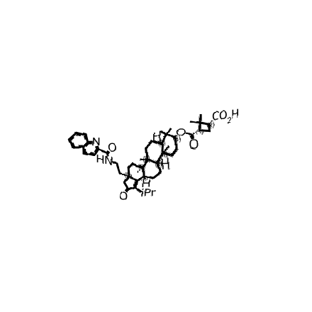 CC(C)C1=C2[C@H]3CC[C@@H]4[C@@]5(C)CC[C@H](OC(=O)[C@H]6C[C@@H](C(=O)O)C6(C)C)C(C)(C)[C@@H]5CC[C@@]4(C)[C@]3(C)CC[C@@]2(CCNC(=O)c2ccc3ccccc3n2)CC1=O